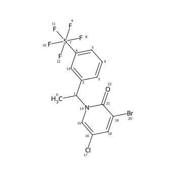 CC(c1cccc(S(F)(F)(F)(F)F)c1)n1cc(Cl)cc(Br)c1=O